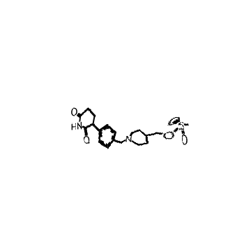 CS(=O)(=O)OCC1CCN(Cc2ccc(C3CCC(=O)NC3=O)cc2)CC1